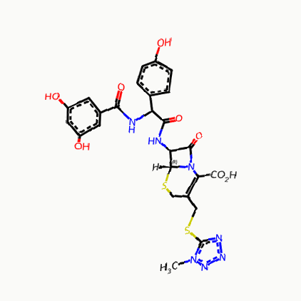 Cn1nnnc1SCC1=C(C(=O)O)N2C(=O)C(NC(=O)C(NC(=O)c3cc(O)cc(O)c3)c3ccc(O)cc3)[C@H]2SC1